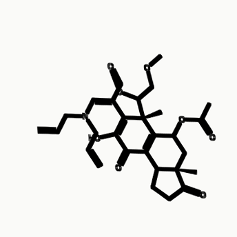 C=CCN(/C=C(/C=O)C1=C(O)C(=O)C2=C(C(OC(C)=O)C[C@]3(C)C(=O)CCC23)[C@@]1(C)C(COC)OC)CC=C